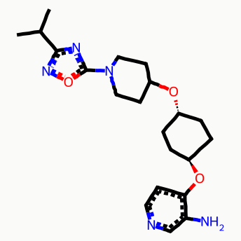 CC(C)c1noc(N2CCC(O[C@H]3CC[C@H](Oc4ccncc4N)CC3)CC2)n1